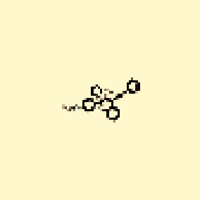 COc1ccc(C2(N3CCCC3)Oc3ccccc3C(C#Cc3ccccc3)=C2C)cc1